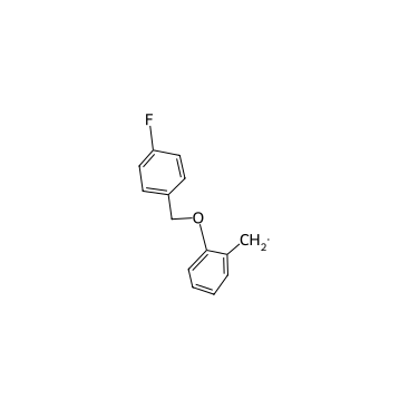 [CH2]c1ccccc1OCc1ccc(F)cc1